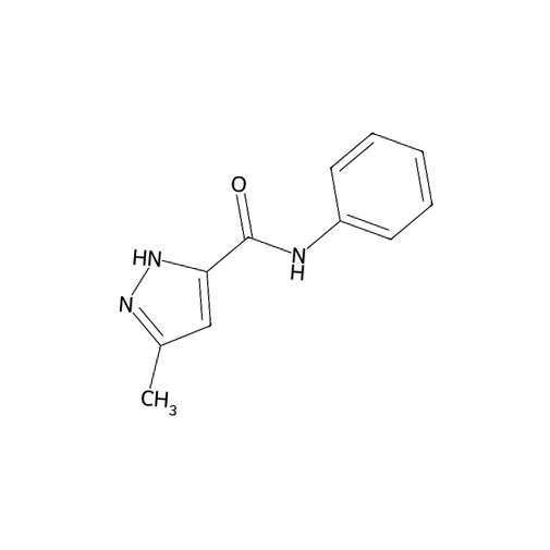 Cc1cc(C(=O)Nc2ccccc2)[nH]n1